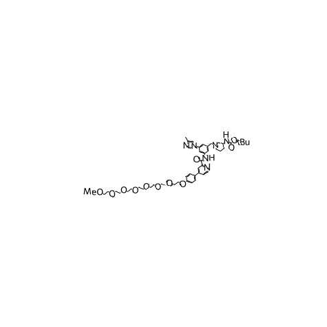 COCCOCCOCCOCCOCCOCCOCCOc1ccc(-c2ccnc(C(=O)Nc3cc(CN4CCC[C@H](NC(=O)OC(C)(C)C)C4)cc(-n4cnc(C)c4)c3)c2)cc1